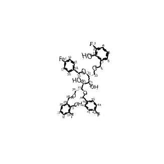 Oc1c(F)cccc1COC[C@@H](OCc1ccc(F)cc1)[C@@H](O)[C@H](O)[C@@H](COCc1cccc(F)c1O)OCc1ccc(F)cc1